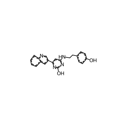 Oc1ccc(CCNc2cc(-c3cnc4ccccc4c3)nc(O)n2)cc1